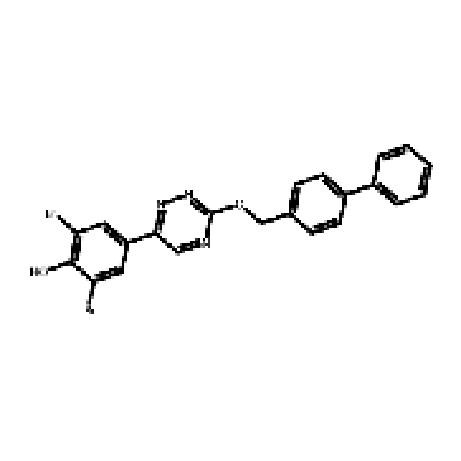 Oc1c(Br)cc(-c2cnc(OCc3ccc(-c4ccccc4)cc3)nn2)cc1Br